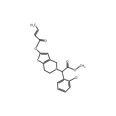 C/C=C/C(=O)Oc1cc2c(s1)CCN(C(C(=O)OC)c1ccccc1Cl)C2